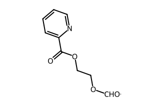 O=[C]OCCOC(=O)c1ccccn1